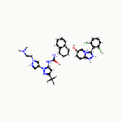 CN(C)CCn1cc(-n2nc(C(C)(C)C)cc2NC(=O)N[C@H]2CC[C@@H](Oc3ccc4nnc(-c5c(Cl)cccc5Cl)n4c3)c3ccccc32)cn1